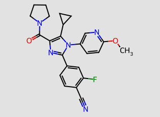 COc1ccc(-n2c(-c3ccc(C#N)c(F)c3)nc(C(=O)N3CCCC3)c2C2CC2)cn1